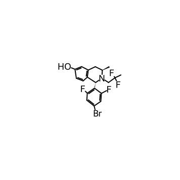 C[C@@H]1Cc2cc(O)ccc2[C@@H](c2c(F)cc(Br)cc2F)N1CC(C)(F)F